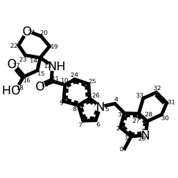 Cc1cc(Cn2ccc3cc(C(=O)NC4(CC(=O)O)CCOCC4)ccc32)c2c(n1)CC=CC2